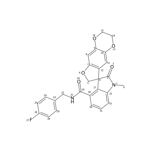 CN1C(=O)C2(COc3cc4c(cc32)OCCO4)c2c(C(=O)NCc3ccc(F)cc3)cccc21